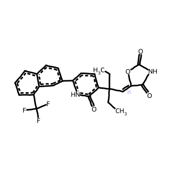 CCC(/C=C1\OC(=O)NC1=O)(CC)c1ccc(-c2ccc3cccc(C(F)(F)F)c3c2)[nH]c1=O